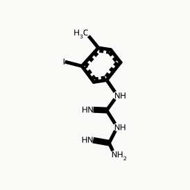 Cc1ccc(NC(=N)NC(=N)N)cc1I